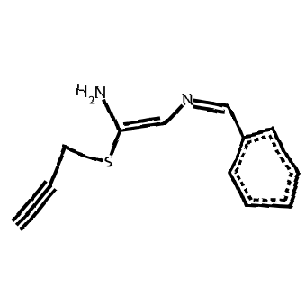 C#CCS/C(N)=C/N=C\c1ccccc1